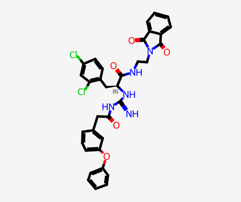 N=C(NC(=O)Cc1cccc(Oc2ccccc2)c1)N[C@@H](Cc1ccc(Cl)cc1Cl)C(=O)NCCN1C(=O)c2ccccc2C1=O